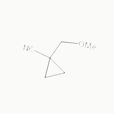 COCC1(C#N)CC1